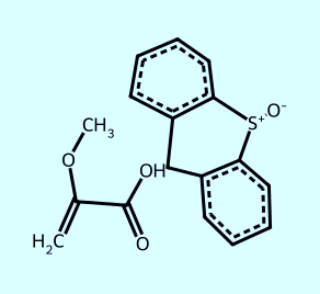 C=C(OC)C(=O)O.[O-][S+]1c2ccccc2Cc2ccccc21